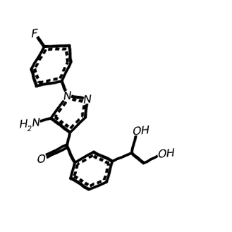 Nc1c(C(=O)c2cccc(C(O)CO)c2)cnn1-c1ccc(F)cc1